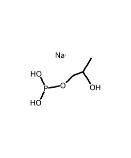 CC(O)COP(O)O.[Na]